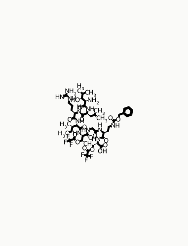 CC[C@H](C)[C@H](NC(=O)[C@@H](CCCNC(=N)N)NC(=O)[C@H](CC(C)C)NC(=O)[C@@H](N)[C@H](O)C(C)C)C(=O)N[C@H](C(=O)NCC(=O)N[C@@H](CCNC(=O)OCc1ccccc1)C(=O)N[C@@H](COC(=O)C(F)(F)F)C(=O)O)[C@H](C)OC(=O)C(F)(F)F